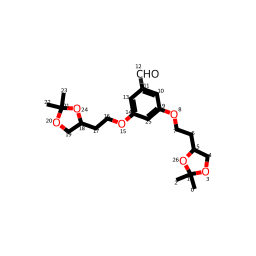 CC1(C)OCC(CCOc2cc(C=O)cc(OCCC3COC(C)(C)O3)c2)O1